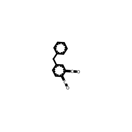 O=C=c1ccc([CH]c2ccccc2)cc1=C=O